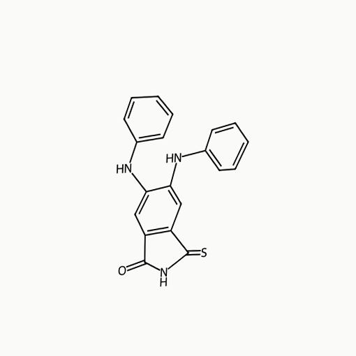 O=C1NC(=S)c2cc(Nc3ccccc3)c(Nc3ccccc3)cc21